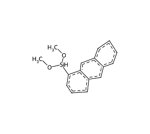 CO[SiH](OC)c1cccc2cc3ccccc3cc12